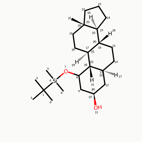 CC(C)(C)[Si](C)(C)OC1C[C@H](O)C[C@@H]2CC[C@@H]3[C@H](CC[C@]4(C)CCC[C@@H]34)[C@@H]12